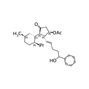 CC(=O)O[C@@H]1CC(=O)[C@H]([C@H]2C[C@H](C)CC[C@@H]2C(C)C)[C@H]1C=CCCC(O)c1ccccc1